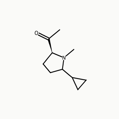 CC(=O)[C@@H]1CCC(C2CC2)N1C